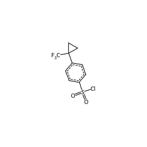 O=S(=O)(Cl)c1ccc(C2(C(F)(F)F)CC2)cc1